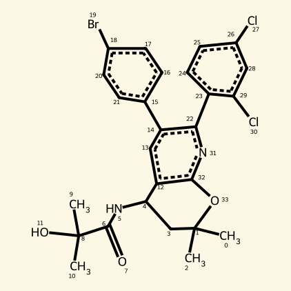 CC1(C)CC(NC(=O)C(C)(C)O)c2cc(-c3ccc(Br)cc3)c(-c3ccc(Cl)cc3Cl)nc2O1